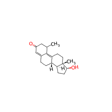 CC1CC(=O)C=C2CC[C@@H]3C(=C21)CC[C@]1(C)[C@@H](O)CC[C@@H]31